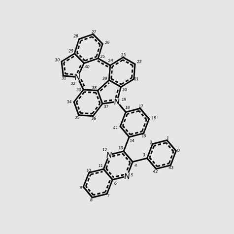 c1ccc(-c2nc3ccccc3nc2-c2cccc(-n3c4cccc5c6cccc7ccn(c8cccc3c8c54)c76)c2)cc1